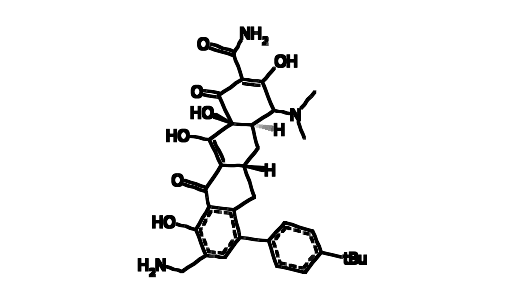 CN(C)C1C(O)=C(C(N)=O)C(=O)[C@@]2(O)C(O)=C3C(=O)c4c(O)c(CN)cc(-c5ccc(C(C)(C)C)cc5)c4C[C@H]3C[C@H]12